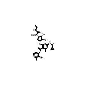 C=C(Sc1ccnc(C)c1N)c1c(C)nc(N[C@H](C)C2CC2)nc1N[C@@H]1C[C@H](C(O)C(=O)NCC)[C@@H](O)[C@H]1O